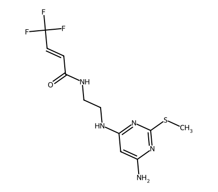 CSc1nc(N)cc(NCCNC(=O)/C=C/C(F)(F)F)n1